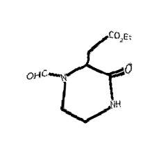 CCOC(=O)CC1C(=O)NCCN1C=O